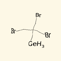 [GeH3][C](Br)(Br)Br